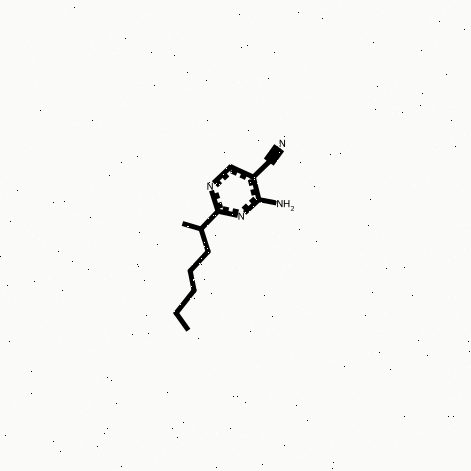 CCCCCC(C)c1ncc(C#N)c(N)n1